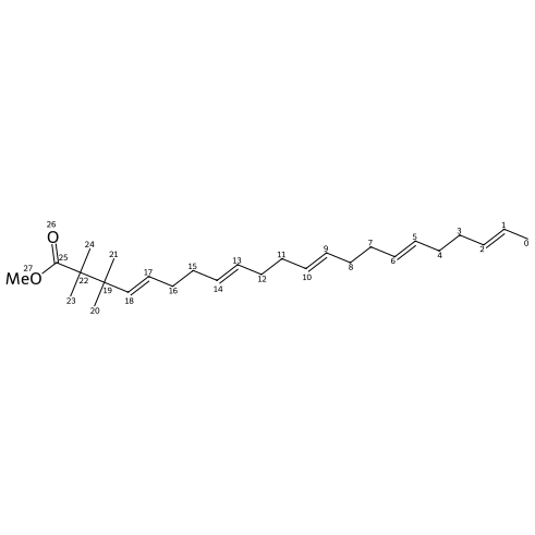 CC=CCCC=CCCC=CCCC=CCCC=CC(C)(C)C(C)(C)C(=O)OC